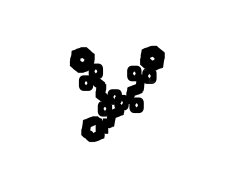 O=C(/C=C/C(=O)Oc1ccccc1)OCC(CN1CCCCC1)OC(=O)/C=C/C(=O)Oc1ccccc1